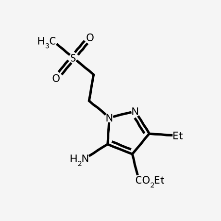 CCOC(=O)c1c(CC)nn(CCS(C)(=O)=O)c1N